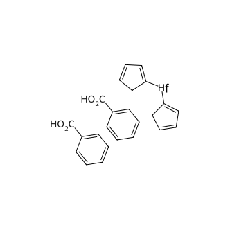 C1=CC[C]([Hf][C]2=CC=CC2)=C1.O=C(O)c1ccccc1.O=C(O)c1ccccc1